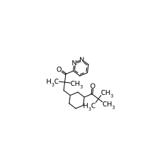 CC(C)(C)C(=O)C1CCCC(CC(C)(C)C(=O)c2cccnn2)C1